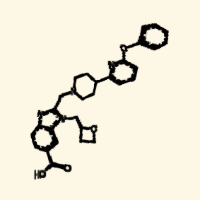 O=C(O)c1ccc2nc(CN3CCC(c4cccc(Oc5ccccc5)n4)CC3)n(CC3CCO3)c2c1